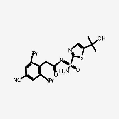 CC(C)c1cc(C#N)cc(C(C)C)c1CC(=O)N=S(N)(=O)c1ncc(C(C)(C)O)s1